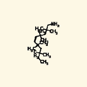 CCC(C)(C)CC(C)(C)/C=C\C(C)(C)CC(C)(C)CN